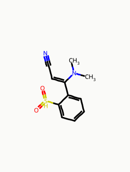 CN(C)C(=CC#N)c1ccccc1[SH](=O)=O